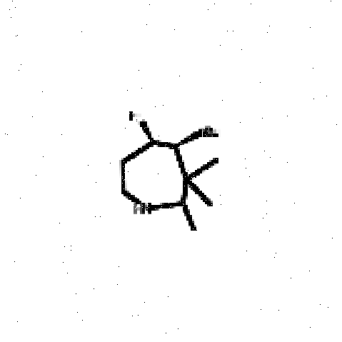 CCCC[C@@H]1[C@H](CC)CCNC(C)C1(C)C